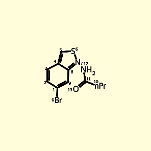 Brc1ccc2csnc2c1.CCCC(N)=O